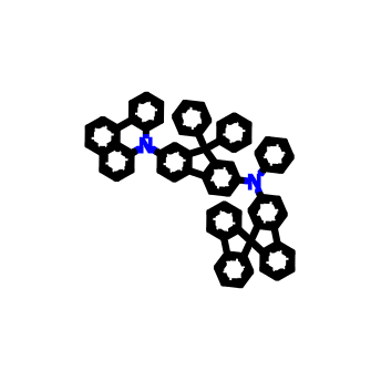 c1ccc(N(c2ccc3c(c2)C(c2ccccc2)(c2ccccc2)c2cc(N4c5ccccc5-c5cccc6cccc4c56)ccc2-3)c2ccc3c(c2)C2(c4ccccc4-c4ccccc42)c2ccccc2-3)cc1